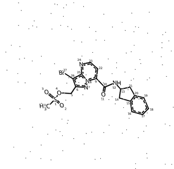 CS(=O)(=O)OCc1nn2c(C(=O)NC3Cc4ccccc4C3)ccnc2c1Br